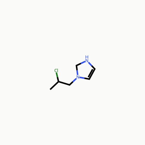 CC(Cl)CN1C=CNC1